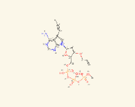 C=CCOC1C[C@H](n2cc(C#CC)c3c(N)ncnc32)O[C@@H]1COP(=O)(O)OP(=O)(O)OP(=O)(O)OC